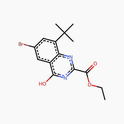 CCOC(=O)c1nc(O)c2cc(Br)cc(C(C)(C)C)c2n1